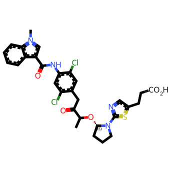 CC(O[C@H]1CCCN1c1ncc(CCC(=O)O)s1)C(=O)Cc1cc(Cl)c(NC(=O)c2cn(C)c3ccccc23)cc1Cl